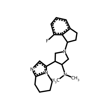 CN(C)C1CN(C2CCc3cccc(F)c32)CC1c1cnc2n1CCCC2